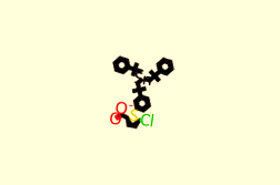 CC(C)([CH2][Sn+]([CH2]C(C)(C)c1ccccc1)[CH2]C(C)(C)c1ccccc1)c1ccccc1.O=C([O-])c1ccc(Cl)s1